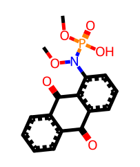 CON(c1cccc2c1C(=O)c1ccccc1C2=O)P(=O)(O)OC